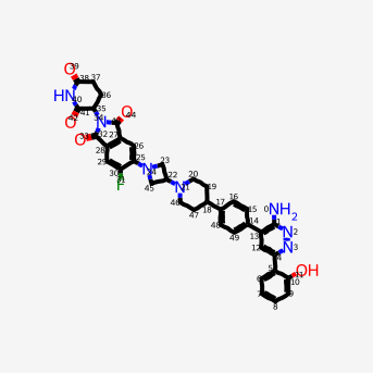 Nc1nnc(-c2ccccc2O)cc1-c1ccc(C2CCN(C3CN(c4cc5c(cc4F)C(=O)N(C4CCC(=O)NC4=O)C5=O)C3)CC2)cc1